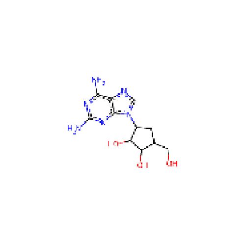 Nc1nc(N)c2ncn(C3CC(CO)C(O)C3O)c2n1